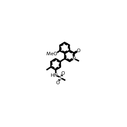 COc1cccc2c(=O)n(C)cc(-c3ccc(C)c(NS(C)(=O)=O)c3)c12